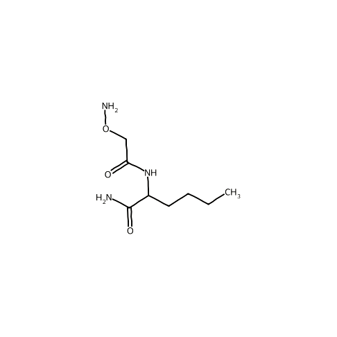 CCCCC(NC(=O)CON)C(N)=O